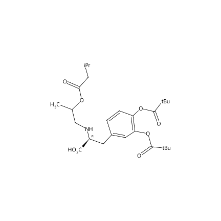 CC(C)CC(=O)OC(C)CN[C@@H](Cc1ccc(OC(=O)C(C)(C)C)c(OC(=O)C(C)(C)C)c1)C(=O)O